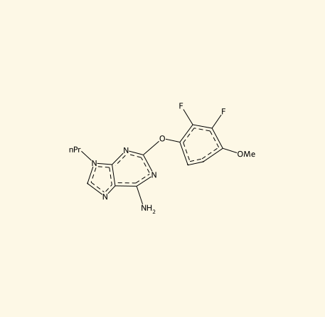 CCCn1cnc2c(N)nc(Oc3ccc(OC)c(F)c3F)nc21